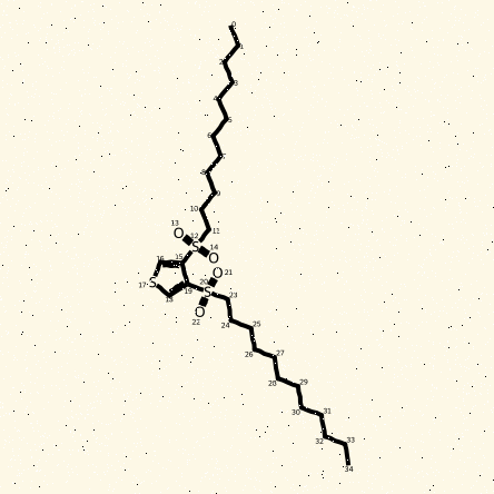 CCCCCCCCCCCCS(=O)(=O)c1cscc1S(=O)(=O)CCCCCCCCCCCC